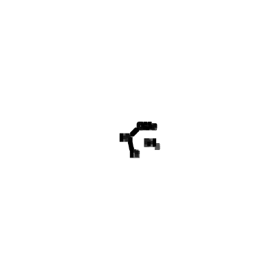 B.CCNOC